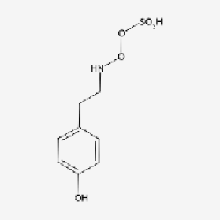 O=S(=O)(O)OONCCc1ccc(O)cc1